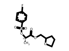 C[C@H](OS(=O)(=O)c1ccc(F)cc1)C(=O)OCC1CCCO1